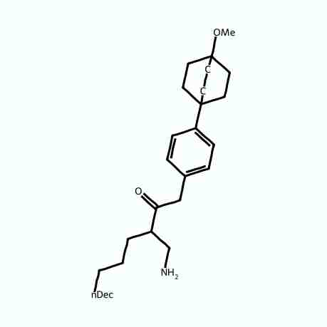 CCCCCCCCCCCCCC(CN)C(=O)Cc1ccc(C23CCC(OC)(CC2)CC3)cc1